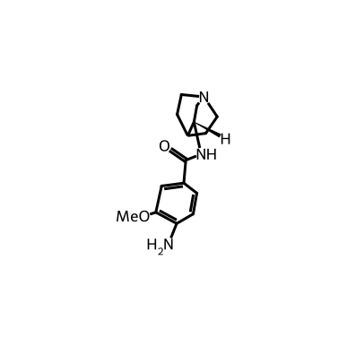 COc1cc(C(=O)N[C@H]2CN3CCC2CC3)ccc1N